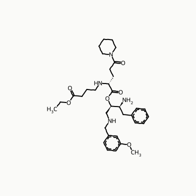 CCOC(=O)CCCN[C@H](CCC(=O)N1CCCCC1)C(=O)O[C@H](CNCc1cccc(OC)c1)[C@@H](N)Cc1ccccc1